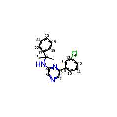 CC(C)(Nc1cncc(-c2cccc(Cl)c2)n1)c1ccccc1